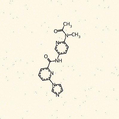 CC(=O)N(C)c1ccc(NC(=O)c2cccc(-n3ccnc3)n2)cn1